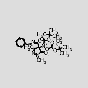 CC(=NOc1ccccc1)C1(N(OC(=O)OC(C)(C)C)C(=O)OC(C)(C)C)C(=O)N(C)N=C1C